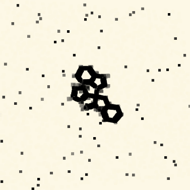 NC(=O)C(Cc1ccccc1)(c1nnn[nH]1)n1cnc2cccnc21